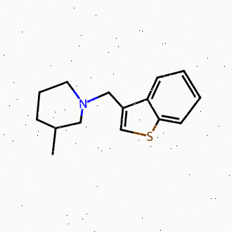 CC1CCCN(Cc2csc3ccccc23)C1